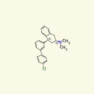 CN(C)[C@@H]1Cc2ccccc2[C@H](c2cccc(-c3ccc(Cl)cc3)c2)C1